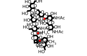 CC(=O)NC1[C@H](O[C@@H]2C(CO)O[C@@H](C)C(NC(C)=O)[C@H]2O)OC(CO)[C@@H](O[C@@H]2OC(CO[C@H]3OC(CO)[C@@H](O)[C@H](O)C3CCO)[C@@H](O)[C@H](O[C@H]3OC(CO)[C@@H](O)C(O)C3O[C@@H]3OC(CO)[C@@H](O[C@@H]4OC5CC(O)(O)[C@@H]5[C@H](O[C@]5(OC=O)C[C@@H](O)[C@@H](C)C([C@H](O)[C@H](O)CO)O5)C4O)[C@H](O)C3NC(C)=O)C2O)[C@@H]1O